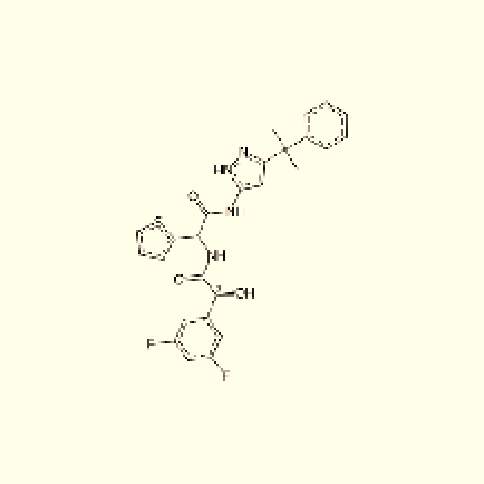 CC(C)(c1ccccc1)c1cc(NC(=O)C(NC(=O)[C@@H](O)c2cc(F)cc(F)c2)c2cccs2)[nH]n1